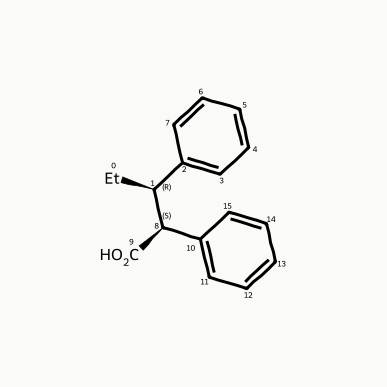 CC[C@@H](c1ccccc1)[C@H](C(=O)O)c1ccccc1